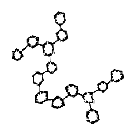 C1=C(c2cccc(-c3nc(-c4cccc(-c5ccccc5)c4)nc(-c4cccc(-c5ccccc5)c4)n3)c2)C=C(c2cccc(-c3cccc(-c4cccc(-c5nc(-c6ccccc6)nc(-c6ccc(-c7ccccc7)cc6)n5)c4)c3)c2)CC1